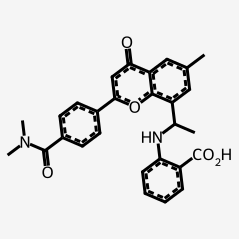 Cc1cc(C(C)Nc2ccccc2C(=O)O)c2oc(-c3ccc(C(=O)N(C)C)cc3)cc(=O)c2c1